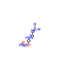 CC(=O)N[C@@H]1CCN(C(=O)c2ccc(Nc3nccc(-c4cnn(C5(CC#N)CC(C#N)C5)c4)n3)cc2)C1